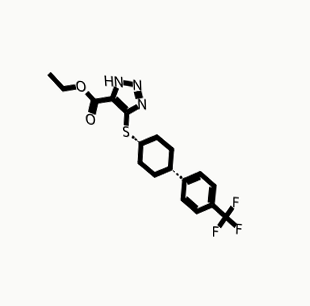 CCOC(=O)c1[nH]nnc1S[C@H]1CC[C@@H](c2ccc(C(F)(F)F)cc2)CC1